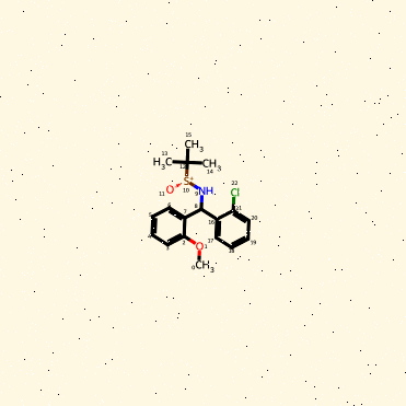 COc1ccccc1C(N[S@+]([O-])C(C)(C)C)c1ccccc1Cl